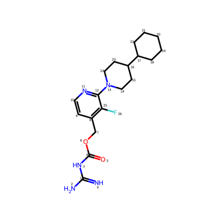 N=C(N)NC(=O)OCc1ccnc(N2CCC(C3CCCCC3)CC2)c1F